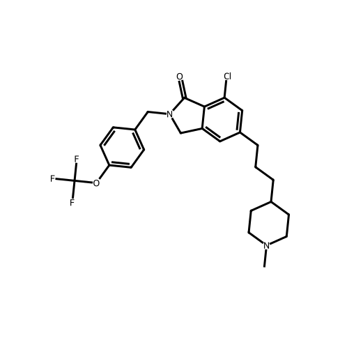 CN1CCC(CCCc2cc(Cl)c3c(c2)CN(Cc2ccc(OC(F)(F)F)cc2)C3=O)CC1